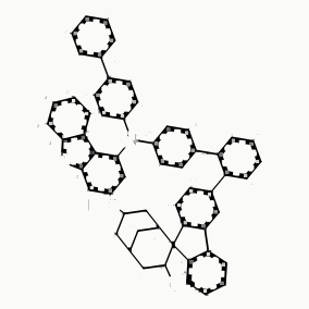 CC1CC2CC(C)C3(c4ccccc4-c4cc(-c5ccccc5-c5ccc(N(c6ccc(-c7ccccc7)cc6)c6cccc7oc8ccccc8c67)cc5)ccc43)C(C1)C2